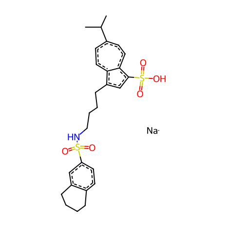 CC(C)c1ccc2c(CCCCNS(=O)(=O)c3ccc4c(c3)CCCC4)cc(S(=O)(=O)O)c-2cc1.[Na]